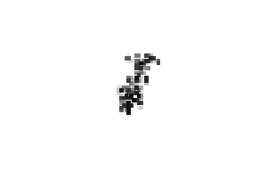 Cc1nc(CCNC(=O)c2cc3cc(Cl)c4c(c3o2)C2(CCCCC2)NC(=O)N4)sc1C